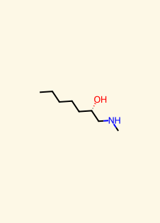 CCCCC[C@H](O)CNC